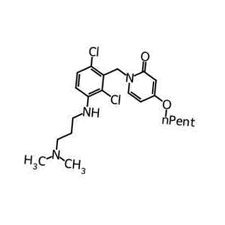 CCCCCOc1ccn(Cc2c(Cl)ccc(NCCCN(C)C)c2Cl)c(=O)c1